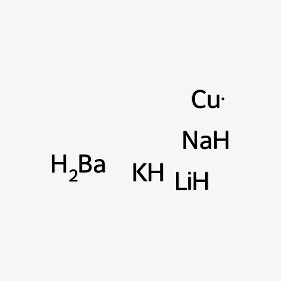 [BaH2].[Cu].[KH].[LiH].[NaH]